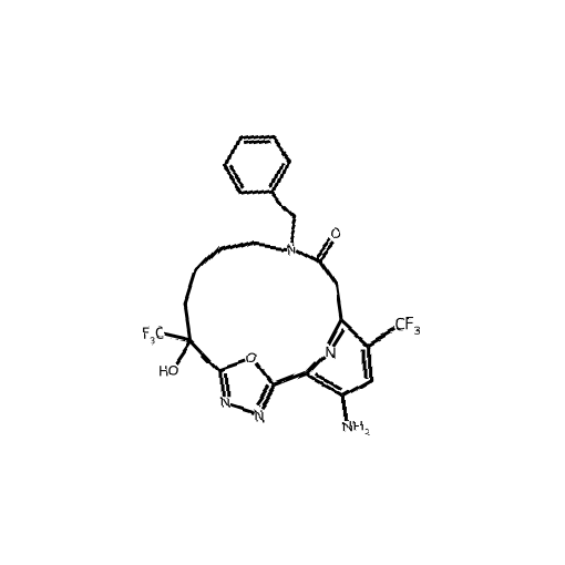 Nc1cc(C(F)(F)F)c2nc1-c1nnc(o1)C(O)(C(F)(F)F)CCCCN(Cc1ccccc1)C(=O)C2